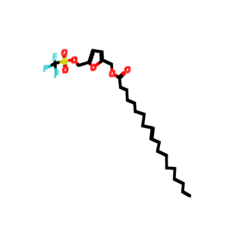 CCCCCCCCCC=CCCCCCCCC(=O)OCc1ccc(COS(=O)(=O)C(F)(F)F)o1